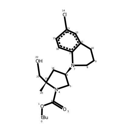 CC(C)(C)OC(=O)N1C[C@H](N2CCCc3cc(Cl)ccc32)C[C@@]1(C)CO